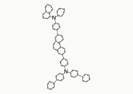 c1ccc(-c2ccc(N(c3ccc(-c4ccccc4)cc3)c3ccc(-c4ccc5c(ccc6cc(-c7ccc(N(c8ccccc8)c8cccc9ccccc89)cc7)ccc65)c4)cc3)cc2)cc1